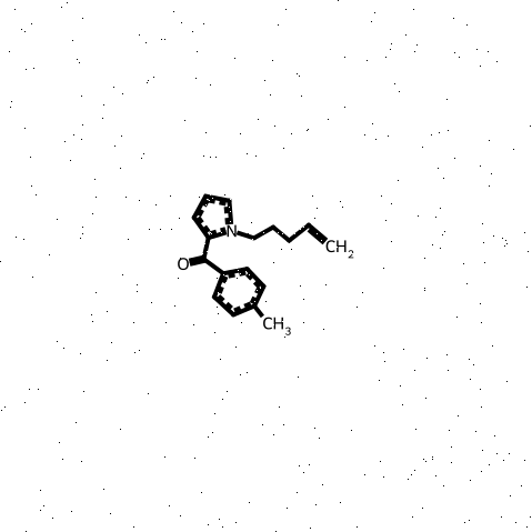 C=CCCCn1cccc1C(=O)c1ccc(C)cc1